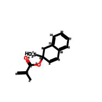 C=C(C)C(=O)OC1(S(=O)(=O)O)C=Cc2ccccc2C1